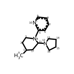 CC1CCN(c2ccccn2)C(N2CCCC2)C1